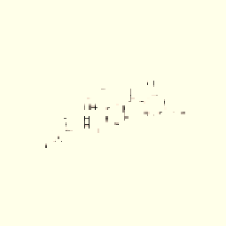 CC(F)[C@@H](C)Nc1cc(Nc2ncc(C#N)cc2Cl)ncc1C(=O)NCC(F)C(C)(C)O